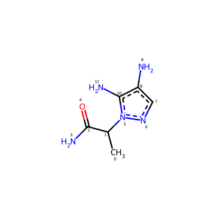 CC(C(N)=O)n1ncc(N)c1N